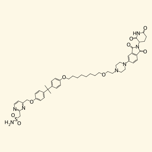 CC(C)(c1ccc(OCCCCCCCCOCCN2CCN(c3ccc4c(c3)C(=O)N(C3CCC(=O)NC3=O)C4=O)CC2)cc1)c1ccc(OCc2ccnc(CS(N)(=O)=O)n2)cc1